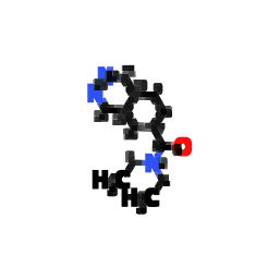 CCN(CC)C(=O)c1ccc2cnncc2c1